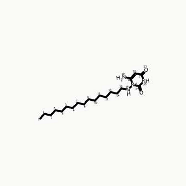 CCCCCCCCCCCCCCCCNn1c(N)cc(=O)[nH]c1=O